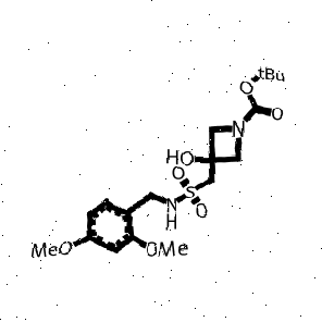 COc1ccc(CNS(=O)(=O)CC2(O)CN(C(=O)OC(C)(C)C)C2)c(OC)c1